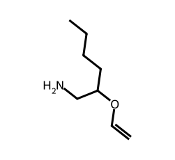 C=COC(CN)CCCC